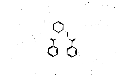 O=C(OC[C@@H]1C=C[C@@H](O)C[C@H]1OC(=O)c1ccccc1)c1ccccc1